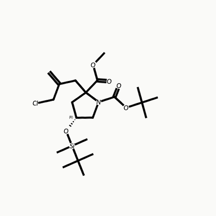 C=C(CCl)CC1(C(=O)OC)C[C@@H](O[Si](C)(C)C(C)(C)C)CN1C(=O)OC(C)(C)C